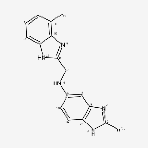 CCCc1nc2cc(NCc3nc4c(C)cccc4[nH]3)ccc2[nH]1